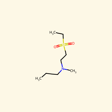 CCCN(C)CCS(=O)(=O)CC